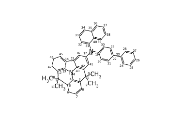 CC1(C)C2=C3C(CC=C2)C(C)(C)C2=c4c(c5cc(N(c6ccc(-c7ccccc7)cc6)c6cccc7ccccc67)cc1c5n43)=CCC2